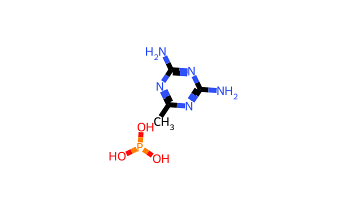 Cc1nc(N)nc(N)n1.OP(O)O